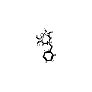 C[Si]1(C)CN(Cc2ccccc2)C[Si](C)(C)O1